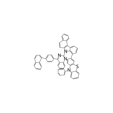 c1ccc(N2c3ccccc3Sc3cc(-c4cccc5c6c7ccccc7ccc6n(-c6nc(-c7ccc(-c8cccc9ccccc89)cc7)c7ccccc7n6)c45)ccc32)cc1